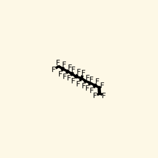 F[C](F)C(F)(F)C(F)(F)C(F)(F)C(F)(F)C(F)(F)C(F)(F)C(F)(F)C(F)(F)C(F)=C(F)F